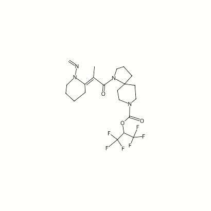 C=NN1CCCC/C1=C(/C)C(=O)N1CCCC12CCN(C(=O)OC(C(F)(F)F)C(F)(F)F)CC2